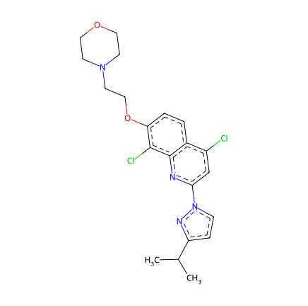 CC(C)c1ccn(-c2cc(Cl)c3ccc(OCCN4CCOCC4)c(Cl)c3n2)n1